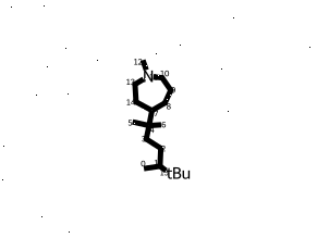 CC(CCC(C)(C)C1CCCN(C)CC1)C(C)(C)C